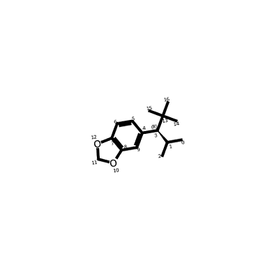 CC(C)[C@@H](c1ccc2c(c1)OCO2)C(C)(C)C